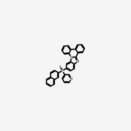 S=P(c1cccnc1)(c1ccc2ccccc2c1)c1ccc2nc3c4ccccc4c4ccccc4n3c2c1